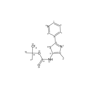 Cc1nc(-c2cccnc2)sc1NC(=O)OC(C)(C)C(F)(F)F